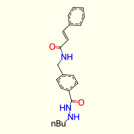 CCCCNNC(=O)c1ccc(CNC(=O)/C=C/c2ccccc2)cc1